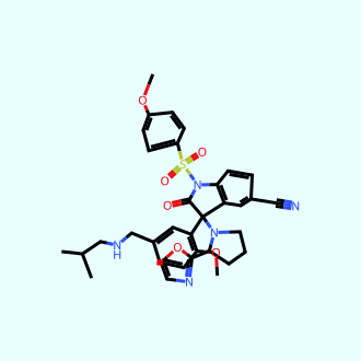 COc1ccc(S(=O)(=O)N2C(=O)C(c3cc(CNCC(C)C)ccc3OC)(N3CCCC3c3ncco3)c3cc(C#N)ccc32)cc1